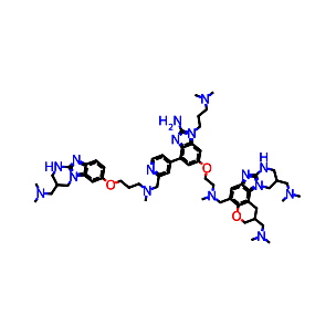 CN(C)CCCn1c(N)nc2c(-c3ccnc(CN(C)CCCOc4ccc5nc6n(c5c4)CC(CN(C)C)CN6)c3)cc(OCCN(C)Cc3cc4nc5n(c4c4c3OCC(CN(C)C)C4)CC(CN(C)C)CN5)cc21